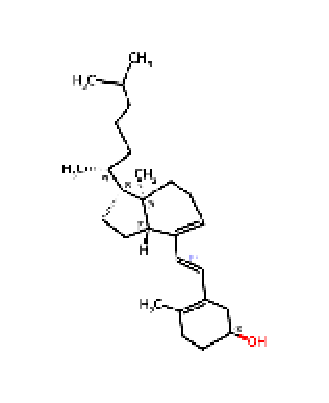 CC1=C(/C=C/C2=CCC[C@]3(C)[C@@H]([C@H](C)CCCC(C)C)CC[C@@H]23)C[C@@H](O)CC1